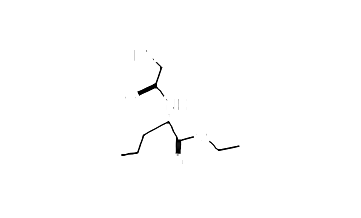 CCOC(=O)[C@@H](NC(=O)CN)[C@@H](C)CC